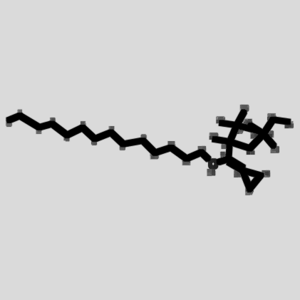 CCCCCCCCCCCCCCOC(=C1CC1)C(C)(CC(C)(C)CC)C(C)(C)C